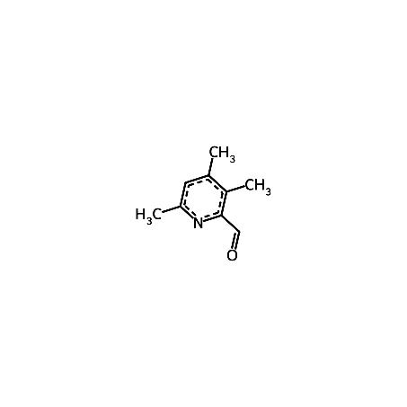 Cc1cc(C)c(C)c(C=O)n1